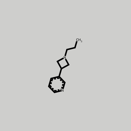 CCCN1CC(c2cccnc2)C1